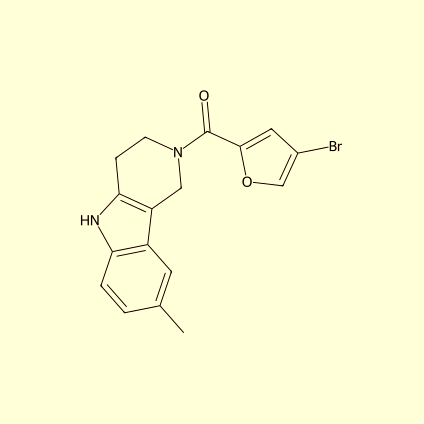 Cc1ccc2[nH]c3c(c2c1)CN(C(=O)c1cc(Br)co1)CC3